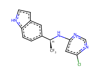 FC(F)(F)[C@H](Nc1cc(Cl)ncn1)c1ccc2[nH]ccc2c1